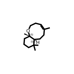 CC1=CCCO[C@@]2(C)CCCC(C)(C)[C@@H]2CC1